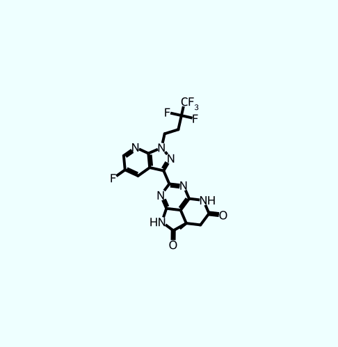 CC12CC(=O)Nc3nc(-c4nn(CCC(F)(F)C(F)(F)F)c5ncc(F)cc45)nc(c31)NC2=O